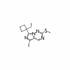 CCC1(c2nc(I)c3cnc(SC)nn23)CCC1